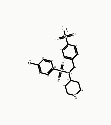 CS(=O)(=O)c1ccc(CN(C2CCOCC2)S(=O)(=O)c2ccc(Cl)cc2)cc1